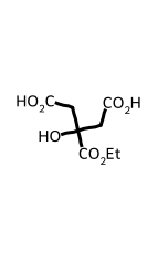 CCOC(=O)C(O)(CC(=O)O)CC(=O)O